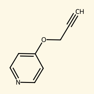 C#CCOc1ccncc1